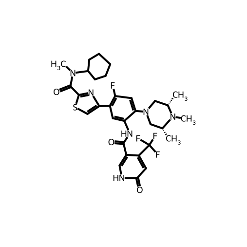 C[C@@H]1CN(c2cc(F)c(-c3csc(C(=O)N(C)C4CCCCC4)n3)cc2NC(=O)c2c[nH]c(=O)cc2C(F)(F)F)C[C@H](C)N1C